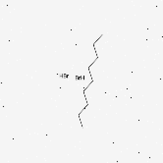 Br.Br.CCCCCCCCC